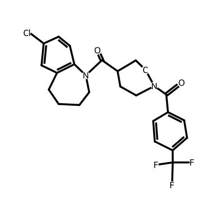 O=C(c1ccc(C(F)(F)F)cc1)N1CCC(C(=O)N2CCCCc3cc(Cl)ccc32)CC1